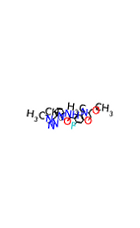 COCC1COc2cc(F)c(C(=O)Nc3cccc(-c4nncn4C(C)C)n3)cc2N1C